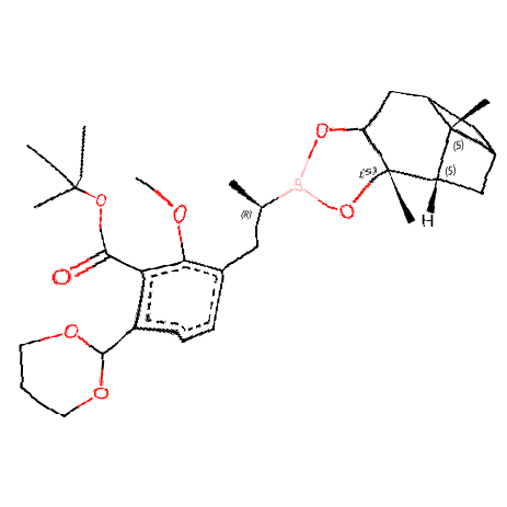 COc1c(C[C@@H](C)B2OC3CC4C5C[C@@H]([C@]45C)[C@]3(C)O2)ccc(C2OCCCO2)c1C(=O)OC(C)(C)C